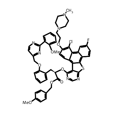 COc1ccc(COC(=O)[C@@H](Cc2ccccc2OCc2ccnc(-c3ccccc3OC)n2)Oc2ncnc3sc4c5ccc(F)cc5c5c(Cl)c(OCCN6CCN(C)CC6)ccc5c4c23)cc1